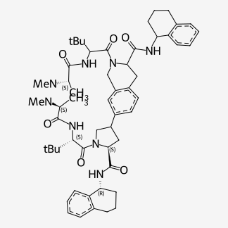 CN[C@@H](C)C(=O)NC(C(=O)N1Cc2cc(C3C[C@@H](C(=O)N[C@@H]4CCCc5ccccc54)N(C(=O)[C@@H](NC(=O)[C@H](C)NC)C(C)(C)C)C3)ccc2CC1C(=O)NC1CCCc2ccccc21)C(C)(C)C